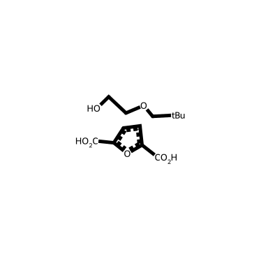 CC(C)(C)COCCO.O=C(O)c1ccc(C(=O)O)o1